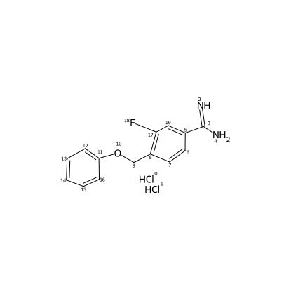 Cl.Cl.N=C(N)c1ccc(COc2ccccc2)c(F)c1